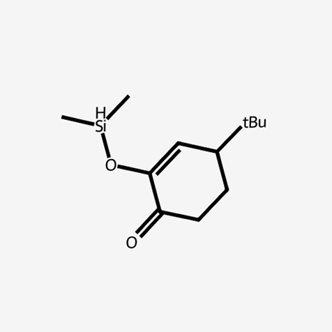 C[SiH](C)OC1=CC(C(C)(C)C)CCC1=O